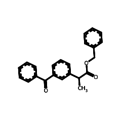 CC(C(=O)OCc1ccccc1)c1cccc(C(=O)c2ccccc2)c1